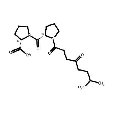 CC(C)CCC(=O)CCC(=O)N1CCC[C@H]1C(=O)N1CCC[C@H]1C(=O)O